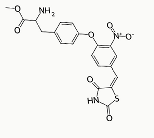 COC(=O)C(N)Cc1ccc(Oc2ccc(C=C3SC(=O)NC3=O)cc2[N+](=O)[O-])cc1